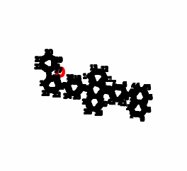 c1ccc2c(-c3ccc(-c4c5ccccc5c(-c5ccc(-c6cccc7c6oc6ccccc67)cc5)c5ccccc45)cc3)cccc2c1